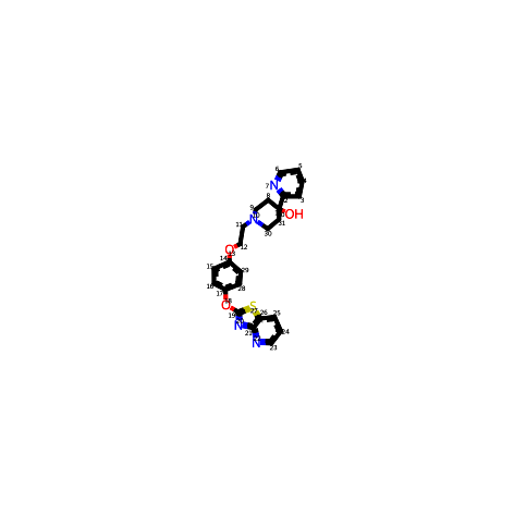 OC1(c2ccccn2)CCN(CCOc2ccc(Oc3nc4ncccc4s3)cc2)CC1